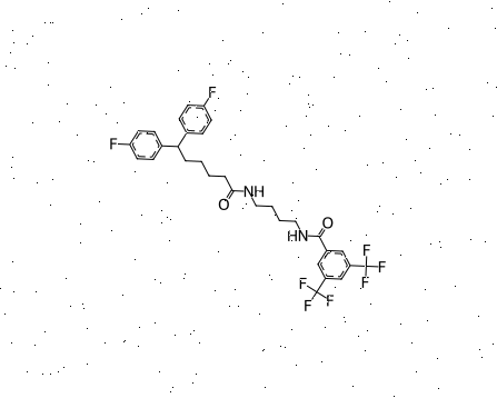 O=C(CCCCC(c1ccc(F)cc1)c1ccc(F)cc1)NCCCCNC(=O)c1cc(C(F)(F)F)cc(C(F)(F)F)c1